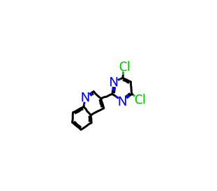 Clc1cc(Cl)nc(-c2cnc3ccccc3c2)n1